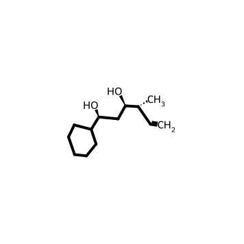 C=C[C@@H](C)[C@H](O)C[C@H](O)C1CCCCC1